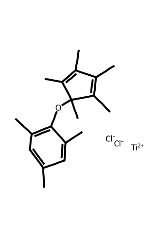 CC1=C(C)C(C)(Oc2c(C)cc(C)cc2C)C(C)=C1C.[Cl-].[Cl-].[Ti+2]